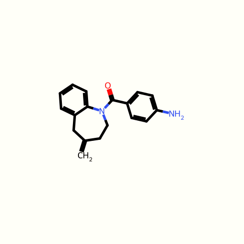 C=C1CCN(C(=O)c2ccc(N)cc2)c2ccccc2C1